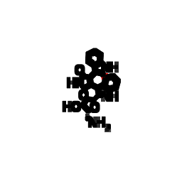 Cc1[nH]c2ccccc2c1C1=C(c2c([C@@H]3C[C@@H](O)[C@@H](CN)O3)[nH]c3ccccc23)C(=O)NC1=O